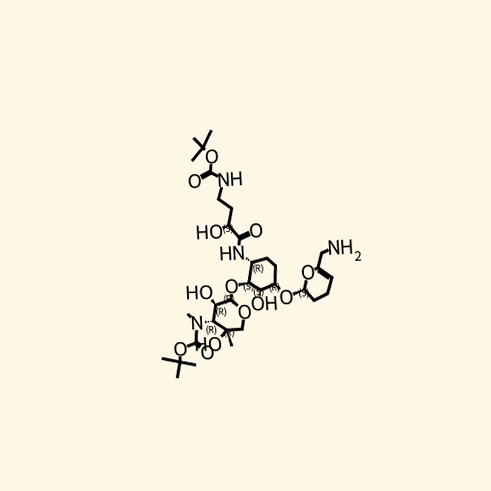 CN(C(=O)OC(C)(C)C)[C@@H]1[C@@H](O)[C@@H](O[C@@H]2[C@@H](O)[C@H](O[C@@H]3CCC=C(CN)O3)CC[C@H]2NC(=O)[C@@H](O)CCNC(=O)OC(C)(C)C)OC[C@]1(C)O